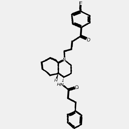 O=C(CCc1ccccc1)N[C@H]1CCN(CCCC(=O)c2ccc(F)cc2)C2CCCC[C@H]21